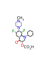 CN1CCN(c2c(F)cc3c(=O)c(OC(=O)O)cn(-c4ccccc4)c3c2F)CC1